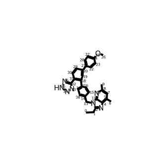 CCc1nc2c(C)cc(C)nc2n1Cc1ccc(-c2cc(-c3ccc(OC)cc3)ccc2-c2nn[nH]n2)cc1